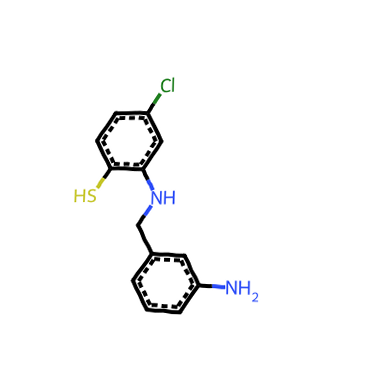 Nc1cccc(CNc2cc(Cl)ccc2S)c1